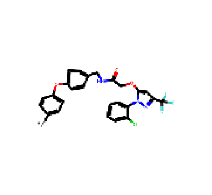 Cc1ccc(Oc2ccc(CNC(=O)COc3cc(C(F)(F)F)nn3-c3ccccc3Cl)cc2)cc1